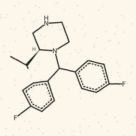 CC(C)[C@H]1CNCCN1C(c1ccc(F)cc1)c1ccc(F)cc1